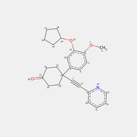 COc1ccc(C2(C#Cc3ccccn3)CCC(=O)CC2)cc1OC1CCCC1